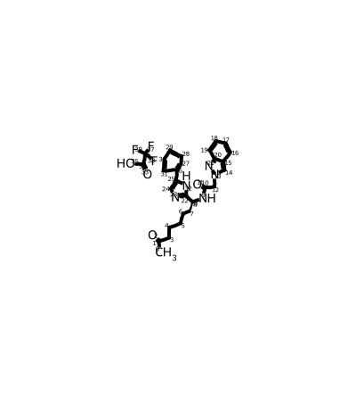 CC(=O)CCCCC[C@H](NC(=O)Cn1cc2ccccc2n1)c1ncc(-c2ccccc2)[nH]1.O=C(O)C(F)(F)F